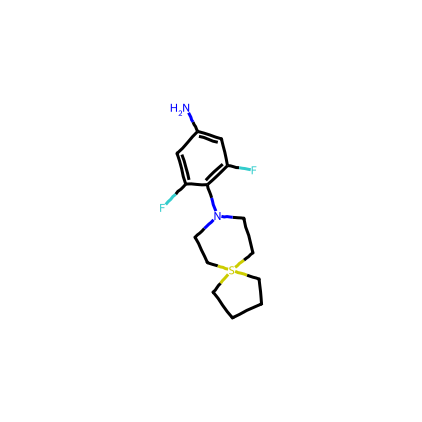 Nc1cc(F)c(N2CCS3(CCCC3)CC2)c(F)c1